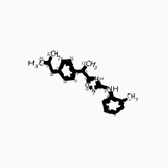 Cc1ccccc1Nc1noc(C(C)c2ccc(CC(C)C)cc2)n1